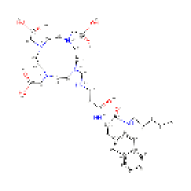 CCCCCNC(=O)[C@@H](Cc1ccc2ccccc2c1)NC(=O)CCNCN1CCN(CC(=O)O)CCN(CC(=O)O)CCN(CC(=O)O)CC1